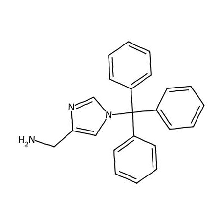 NCc1cn(C(c2ccccc2)(c2ccccc2)c2ccccc2)cn1